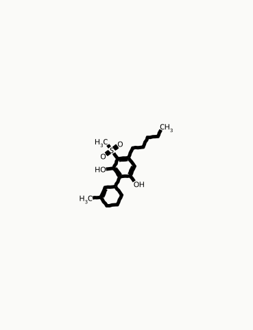 CCCCCc1cc(O)c(C2C=C(C)CCC2)c(O)c1S(C)(=O)=O